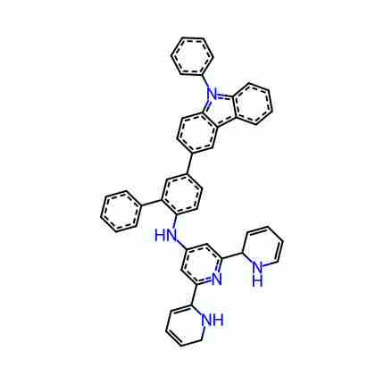 C1=CCNC(c2cc(Nc3ccc(-c4ccc5c(c4)c4ccccc4n5-c4ccccc4)cc3-c3ccccc3)cc(C3C=CC=CN3)n2)=C1